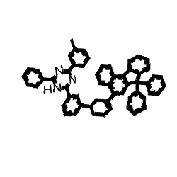 Cc1cccc(C2=NC(c3ccccc3)NC(c3cccc(C4C=CC=C(c5cc6c(c7ccccc57)-c5ccccc5C6(c5ccccc5)c5ccccc5)C4)c3)=N2)c1